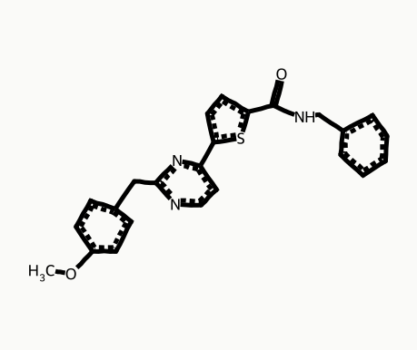 COc1ccc(Cc2nccc(-c3ccc(C(=O)NCc4ccccc4)s3)n2)cc1